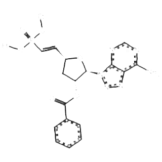 CCOP(=O)(/C=C/[C@@H]1C[C@@H](OC(=O)c2ccccc2)[C@H](n2nnc3c(N)ncnc32)O1)OCC